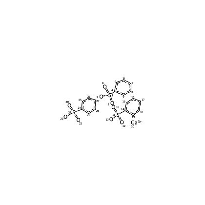 O=S(=O)([O-])c1ccccc1.O=S(=O)([O-])c1ccccc1.O=S(=O)([O-])c1ccccc1.[Ga+3]